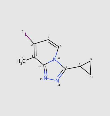 Cc1c(I)ccn2c(C3CC3)nnc12